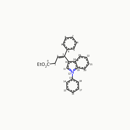 CCOC(=O)C/C=C(/c1ccccc1)c1cn(-c2ccccc2)c2ccccc12